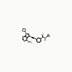 Nc1ncnc2c1c(C#Cc1cccc(C(=O)NC3CC3)c1)cn2C1CCC1